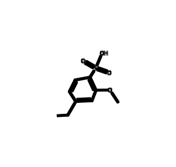 CCc1ccc(S(=O)(=O)O)c(OC)c1